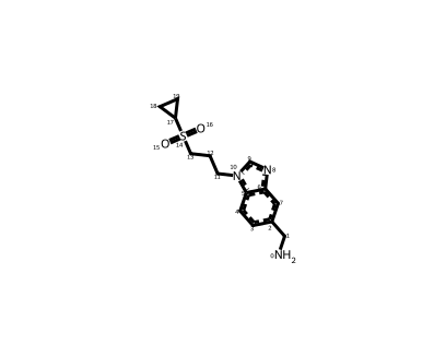 NCc1ccc2c(c1)ncn2CCCS(=O)(=O)C1CC1